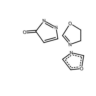 C1=NCCO1.O=C1C=CN=N1.c1cocn1